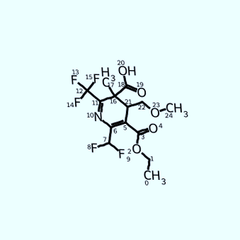 CCOC(=O)C1=C(C(F)F)N=C(C(F)(F)F)C(C)(C(=O)O)C1COC